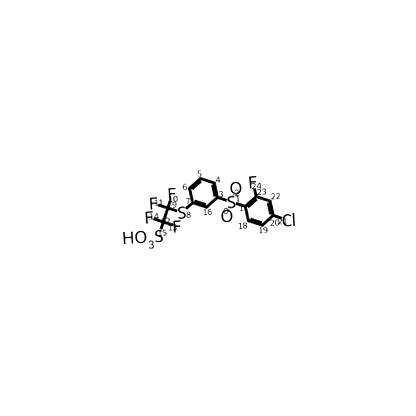 O=S(=O)(c1cccc(SC(F)(F)C(F)(F)S(=O)(=O)O)c1)c1ccc(Cl)cc1F